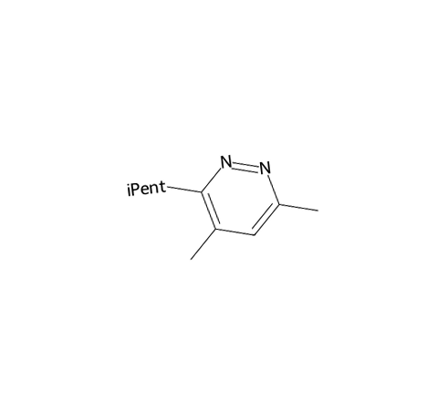 CCCC(C)c1nnc(C)cc1C